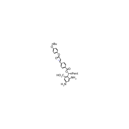 CCCCCC(OC(=O)c1ccc(/C=C/C(=O)Oc2ccc(OCCCC)cc2)cc1)c1c(N)cc(N)cc1C(=O)O